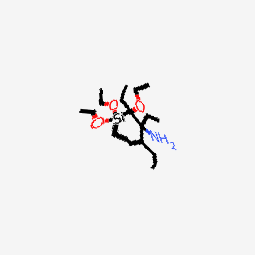 CCOC1(CC)C(N)(CC)C(CC)CC[Si]1(OCC)OCC